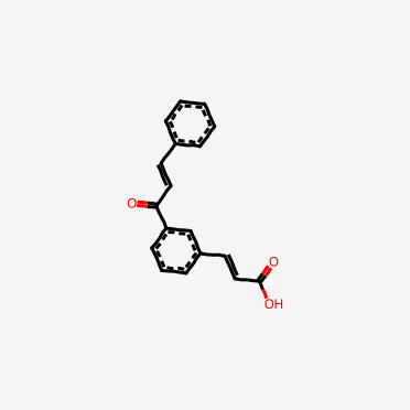 O=C(O)C=Cc1cccc(C(=O)C=Cc2ccccc2)c1